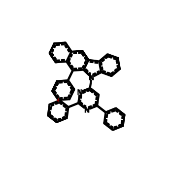 c1ccc(-c2cc(-n3c4ccccc4c4cc5ccccc5c(-c5ccccc5)c43)nc(-c3ccccc3)n2)cc1